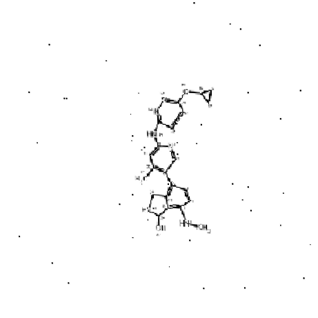 CNc1ccc(-c2cnc(Nc3ccc(OC4CC4)nn3)cc2C)c2c1C(O)NC2